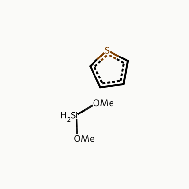 CO[SiH2]OC.c1ccsc1